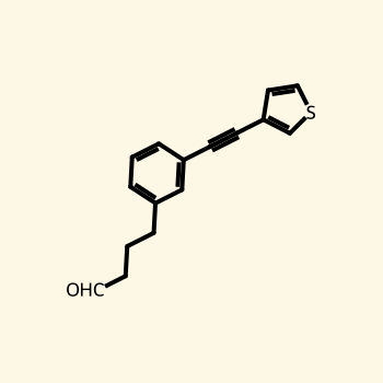 O=CCCCc1cccc(C#Cc2ccsc2)c1